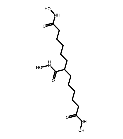 O=C(CCCCCC(CCCCCC(=O)NO)C(=O)NO)NO